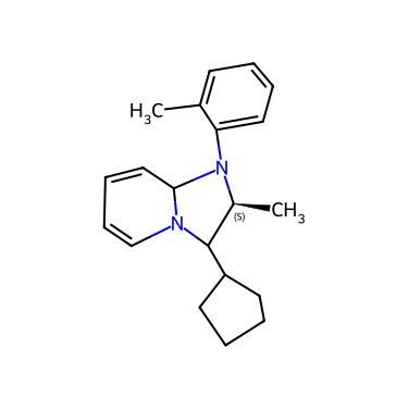 Cc1ccccc1N1C2C=CC=CN2C(C2CCCC2)[C@@H]1C